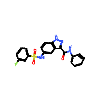 O=C(Nc1ccccc1)c1n[nH]c2ccc(NS(=O)(=O)c3cccc(F)c3)cc12